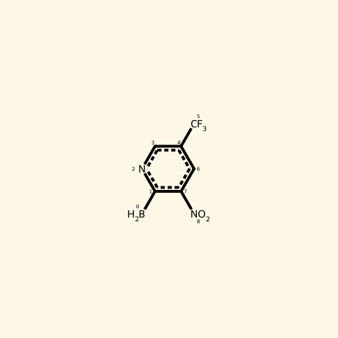 Bc1ncc(C(F)(F)F)cc1[N+](=O)[O-]